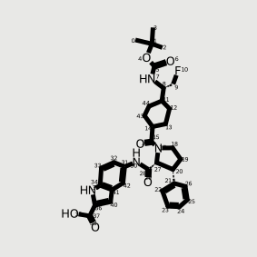 CC(C)(C)OC(=O)N[C@H](CF)C1CCC(C(=O)N2CC[C@H](c3ccccc3)[C@@H]2C(=O)Nc2ccc3[nH]c(C(=O)O)cc3c2)CC1